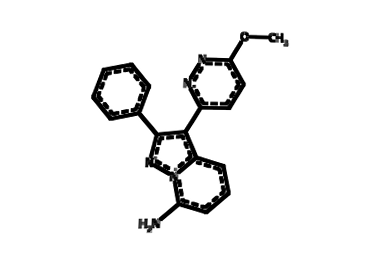 COc1ccc(-c2c(-c3ccccc3)nn3c(N)cccc23)nn1